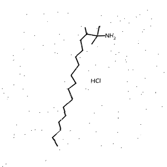 CCCCCCCCCCCCCCC(C)C(C)(C)N.Cl